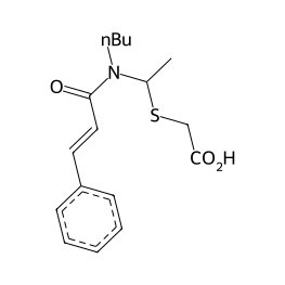 CCCCN(C(=O)/C=C/c1ccccc1)C(C)SCC(=O)O